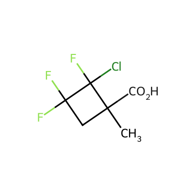 CC1(C(=O)O)CC(F)(F)C1(F)Cl